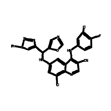 CC(C)n1cc(C(Nc2cc(Cl)c3ncc(C#N)c(Nc4ccc(F)c(Cl)c4)c3c2)c2cnco2)nn1